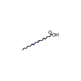 CCCCC/C=C/C/C=C/C/C=C/CCC(=O)O